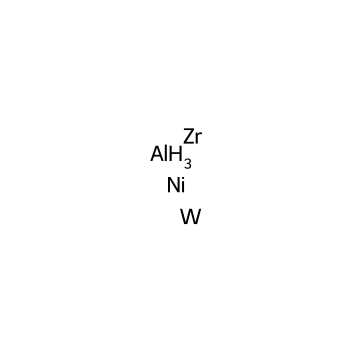 [AlH3].[Ni].[W].[Zr]